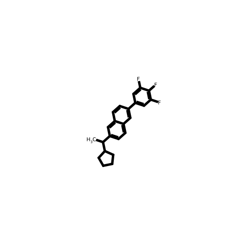 CC(c1ccc2cc(-c3cc(F)c(F)c(F)c3)ccc2c1)C1CCCC1